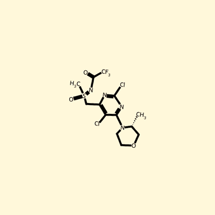 C[C@@H]1COCCN1c1nc(Cl)nc(CS(C)(=O)=NC(=O)C(F)(F)F)c1Cl